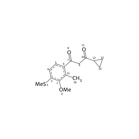 COc1c(SC)ccc(C(=O)CC(=O)C2CC2)c1C